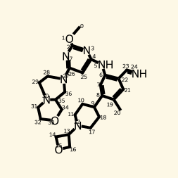 COc1nc(Nc2cc(C3CCN(C4COC4)CC3)c(C)cc2C=N)cc(N2CCN3CCOCC3C2)n1